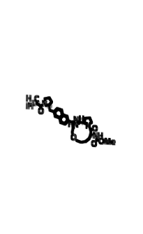 COC(=O)N[C@H]1CCCCOCc2[nH]c(nc2-c2ccc3cc(C[C@@H]4CCCN4C(=O)[C@@H](C)C(C)C)ccc3c2)[C@@H]2CCCN2C1=O